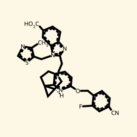 Cc1ncsc1Cn1c(CN2CCC3(c4cccc(OCc5ccc(C#N)cc5F)n4)C[C@@H]3C2)nc2ccc(C(=O)O)cc21